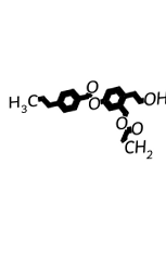 C=CC(=O)OCc1cc(OC(=O)c2ccc(CCC)cc2)ccc1CCO